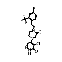 O=C1CN(c2cn[nH]c(=O)c2Cl)CCN1CCc1ccc(F)cc1C(F)(F)F